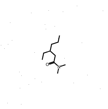 CCCC(CC)CC(=O)N(C)C